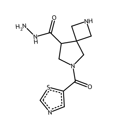 NNC(=O)C1CN(C(=O)c2cncs2)CC12CNC2